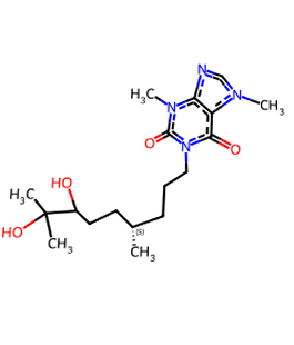 C[C@@H](CCCn1c(=O)c2c(ncn2C)n(C)c1=O)CCC(O)C(C)(C)O